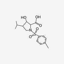 Cc1ccc(S(=O)(=O)N2CC(C(C)C)C(O)C2C(=O)O)cc1